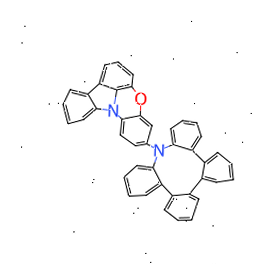 c1ccc2c(c1)c1ccccc1c1ccccc1n(-c1ccc3c(c1)Oc1cccc4c5ccccc5n-3c14)c1ccccc21